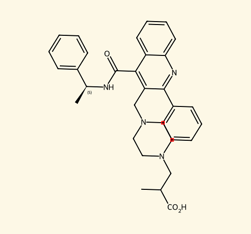 CC(CN1CCN(Cc2c(-c3ccccc3)nc3ccccc3c2C(=O)N[C@@H](C)c2ccccc2)CC1)C(=O)O